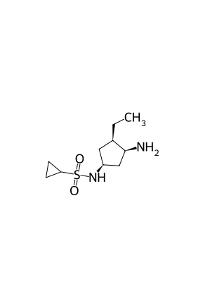 CC[C@@H]1C[C@H](NS(=O)(=O)C2CC2)C[C@@H]1N